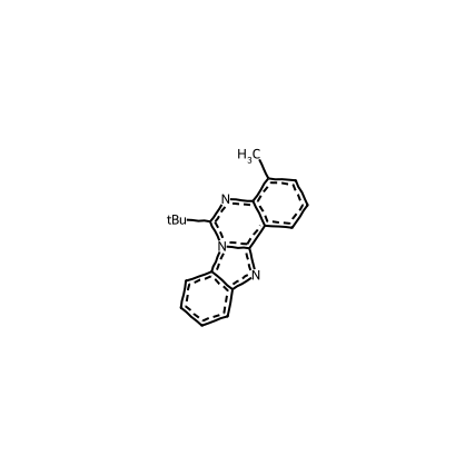 Cc1cccc2c1nc(C(C)(C)C)n1c3ccccc3nc21